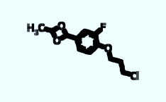 CC1OC(c2ccc(OCCCCl)c(F)c2)O1